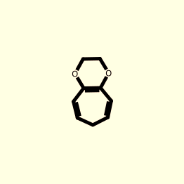 C1=CC2=C(C=CC1)OCCO2